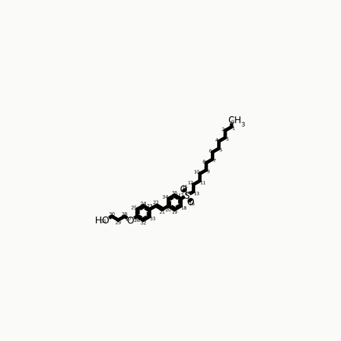 CCCCCCCCCCCCCCS(=O)(=O)c1ccc(C=Cc2ccc(OCCCO)cc2)cc1